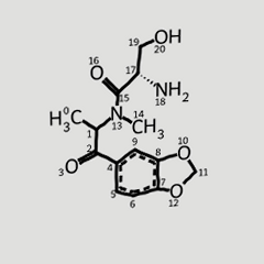 CC(C(=O)c1ccc2c(c1)OCO2)N(C)C(=O)[C@@H](N)CO